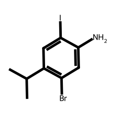 CC(C)c1cc(I)c(N)cc1Br